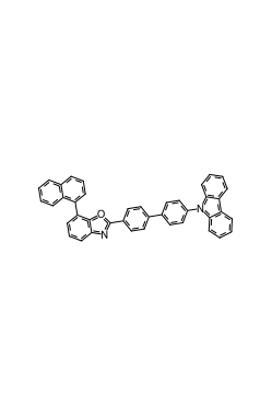 c1ccc2c(-c3cccc4nc(-c5ccc(-c6ccc(-n7c8ccccc8c8ccccc87)cc6)cc5)oc34)cccc2c1